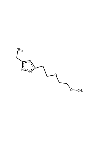 COCCOCCn1cc(CN)nn1